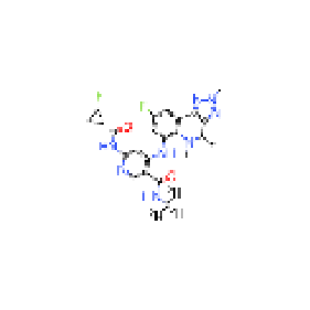 [2H]C([2H])([2H])NC(=O)c1cnc(NC(=O)[C@@H]2C[C@@H]2F)cc1Nc1cc(F)cc2c1N(C)[C@H](C)c1nn(C)nc1-2